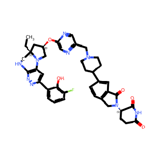 CC[C@]12CNc3nnc(-c4cccc(F)c4O)cc3N1C[C@H](Oc1cnc(CN3CCC(c4ccc5c(c4)C(=O)N([C@H]4CCC(=O)NC4=O)C5)CC3)cn1)C2